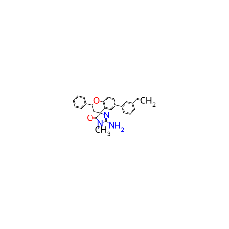 C=Cc1cccc(-c2ccc3c(c2)C2(CC(c4ccccc4)O3)N=C(N)N(C)C2=O)c1